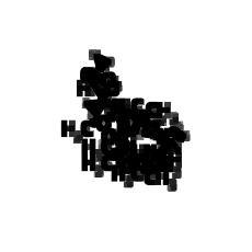 C=C[C@@H]1C[C@]1(NC(=O)[C@@H]1C[C@@]2(CN1C(=O)[C@@H](NC(=O)[C@@H](NC(=O)c1ncc[nH]1)C(C)(C)C)C(C)(C)C)C(C)(C)C21CCC1)C(=O)NS(=O)(=O)C1CC1